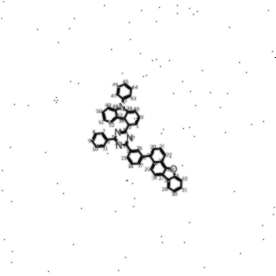 C1=CC(c2nc(-c3ccccc3)nc(-c3cccc(-c4cccc5c4ccc4c6ccccc6oc54)c3)n2)C2C(=C1)N(c1ccccc1)c1ccccc12